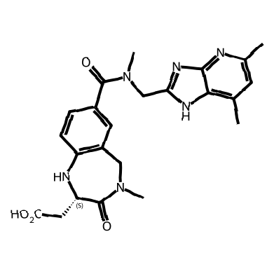 Cc1cc(C)c2[nH]c(CN(C)C(=O)c3ccc4c(c3)CN(C)C(=O)[C@H](CC(=O)O)N4)nc2n1